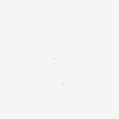 O=C(Nc1cccc(Cc2n[nH]c(=O)c3ccccc23)c1)c1cc(-c2ccc(Cl)cc2)oc1C(F)(F)F